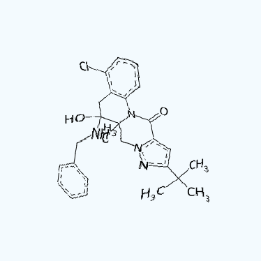 CC(C)(C)c1cc2n(n1)CC1(C)N(C2=O)c2cccc(Cl)c2CC1(O)NCc1ccccc1